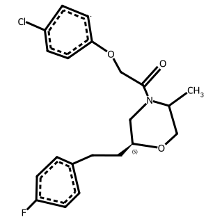 CC1CO[C@@H](CCc2ccc(F)cc2)CN1C(=O)COc1[c]cc(Cl)cc1